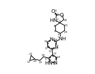 O=C1NC2(CCC(Nc3nccc(-c4cn[nH]c4CCC4CC4)n3)CC2)CO1